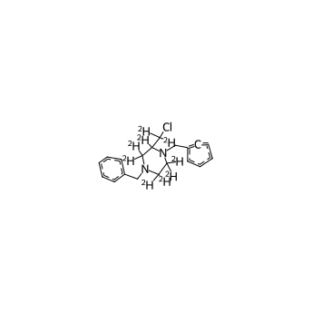 [2H]C([2H])(Cl)C1([2H])N(Cc2ccccc2)C([2H])([2H])C([2H])([2H])N(Cc2ccccc2)C1([2H])[2H]